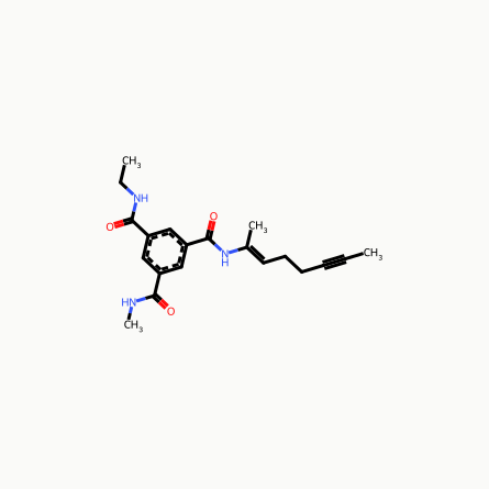 CC#CCC/C=C(\C)NC(=O)c1cc(C(=O)NC)cc(C(=O)NCC)c1